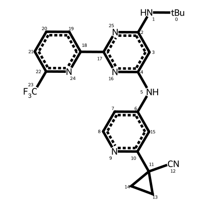 CC(C)(C)Nc1cc(Nc2ccnc(C3(C#N)CC3)c2)nc(-c2cccc(C(F)(F)F)n2)n1